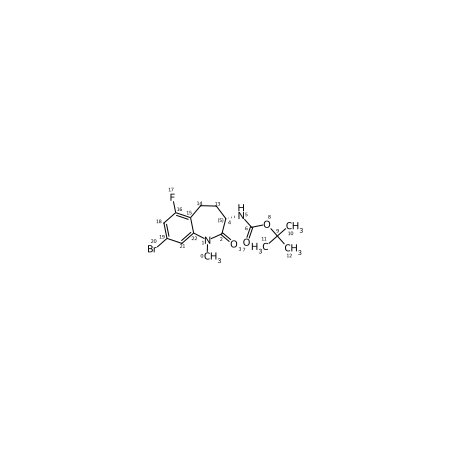 CN1C(=O)[C@@H](NC(=O)OC(C)(C)C)CCc2c(F)cc(Br)cc21